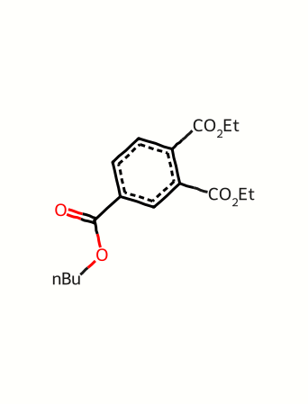 CCCCOC(=O)c1ccc(C(=O)OCC)c(C(=O)OCC)c1